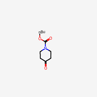 CCCCOC(=O)N1CCC(=O)CC1